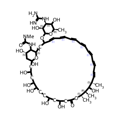 CNC(=O)NC1[C@@H]2CC(OC3O[C@H](C)C(O)[C@H](NC(=N)N)[C@@H]3O)/C=C/C=C/C=C/C=C/C=C/C=C/C=C/[C@H](C)C(O)[C@@H](C)[C@H](C)OC(=O)CC(O)CC(O)CCC(O)C(O)CC(O)CC(O)(C[C@@H]1O)O2